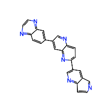 c1cc2ncc(-c3ccc4ncc(-c5ccc6nccnc6c5)cc4n3)cc2cn1